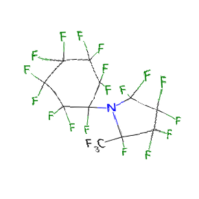 FC(F)(F)C1(F)N(C2(F)C(F)(F)C(F)(F)C(F)(F)C(F)(F)C2(F)F)C(F)(F)C(F)(F)C1(F)F